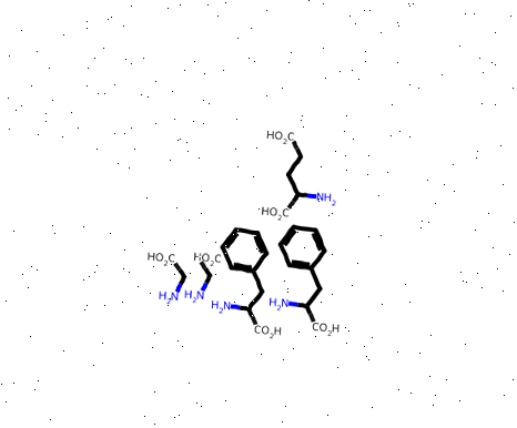 NC(CCC(=O)O)C(=O)O.NC(Cc1ccccc1)C(=O)O.NC(Cc1ccccc1)C(=O)O.NCC(=O)O.NCC(=O)O